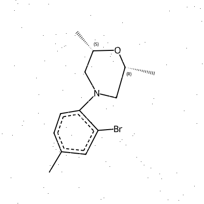 Cc1ccc(N2C[C@@H](C)O[C@@H](C)C2)c(Br)c1